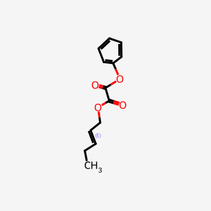 CC/C=C/COC(=O)C(=O)Oc1ccccc1